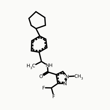 CC(NC(=O)c1cn(C)nc1C(F)F)c1ccc(C2CCCCC2)cc1